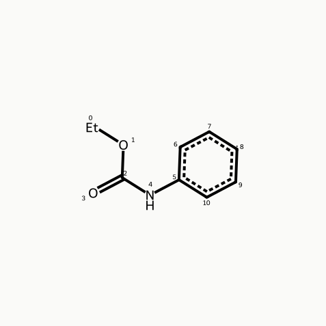 CCOC(=O)Nc1cc[c]cc1